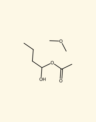 CCCC(O)OC(C)=O.COC